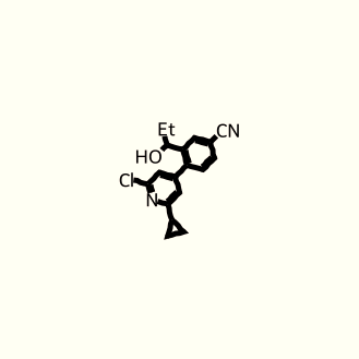 CCC(O)c1cc(C#N)ccc1-c1cc(Cl)nc(C2CC2)c1